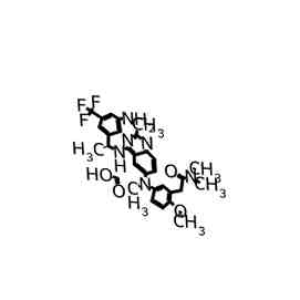 COc1ccc(N(C)c2ccc3nc(C)nc(N[C@H](C)c4cc(N)cc(C(F)(F)F)c4)c3c2)cc1CC(=O)N(C)C.O=CO